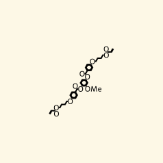 C=CC(=O)OCCCCOc1ccc(C(=O)Oc2ccc(OC(=O)c3ccc(OCCCCOC(=O)C=C)cc3)c(OC)c2)cc1